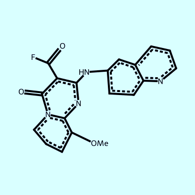 COc1cccn2c(=O)c(C(=O)F)c(Nc3ccc4ncccc4c3)nc12